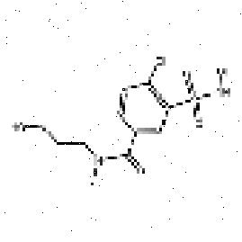 CN(CCCO)C(=O)c1ccc(Cl)c(S(=O)(=O)NO)c1